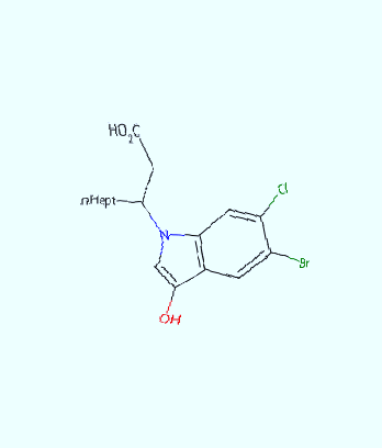 CCCCCCCC(CC(=O)O)n1cc(O)c2cc(Br)c(Cl)cc21